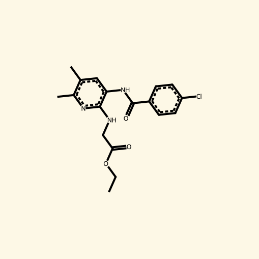 CCOC(=O)CNc1nc(C)c(C)cc1NC(=O)c1ccc(Cl)cc1